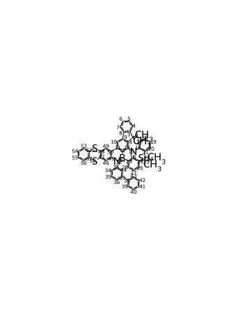 CC1(C)c2ccccc2-c2cc3c4c(c21)N1c2ccccc2[Si](C)(C)c2cccc(c21)B4N(c1cccc(-c2ccccc2)c1)c1cc2c(cc1-3)Sc1ccccc1S2